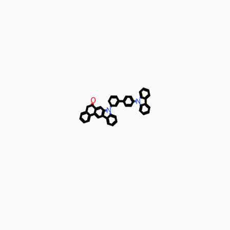 O=C1Cc2ccccc2-c2cc3c4ccccc4n(C4C=C(c5ccc(-n6c7ccccc7c7ccccc76)cc5)C=CC4)c3cc21